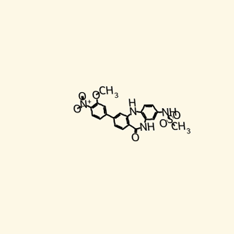 COc1cc(-c2ccc3c(c2)Nc2ccc(NS(C)(=O)=O)cc2NC3=O)ccc1[N+](=O)[O-]